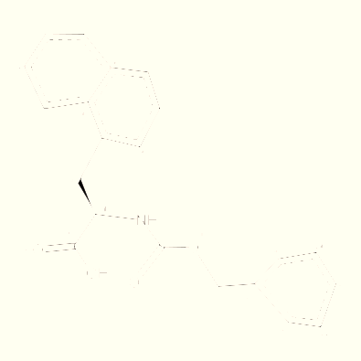 O=C(N[C@H](Cc1cccc2ccccc12)C(=O)O)OCc1ccccc1